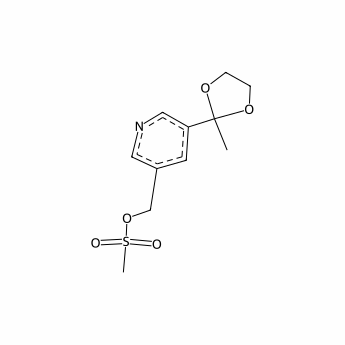 CC1(c2cncc(COS(C)(=O)=O)c2)OCCO1